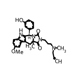 C#CCN(C)CCCN1C(=O)N2[C@H](c3cccc(O)c3)c3[nH]c4ccc(OC)cc4c3C[C@@]2(C)C1=O